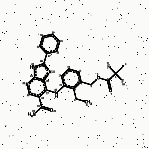 CCc1c(COC(=O)C(F)(F)F)cccc1Nc1c(C(N)=O)cnc2[nH]c(-c3ccccc3)nc12